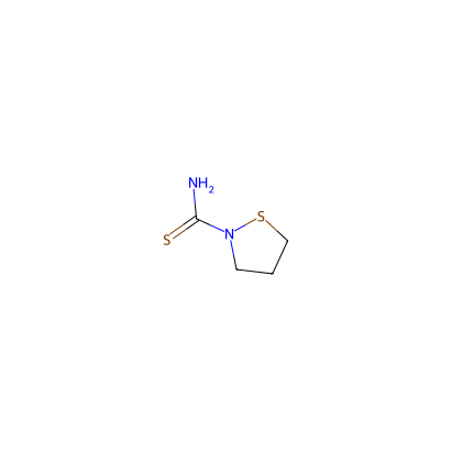 NC(=S)N1CCCS1